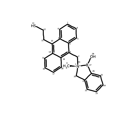 C[N@+]1(Cc2c3ccccc3c(CCS)c3ccccc23)Cc2ccccc2B1O